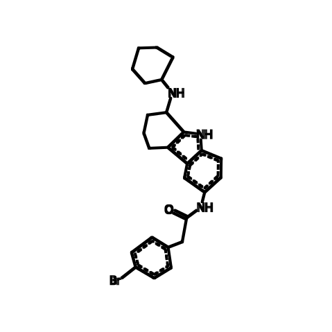 O=C(Cc1ccc(Br)cc1)Nc1ccc2[nH]c3c(c2c1)CCCC3NC1CCCCC1